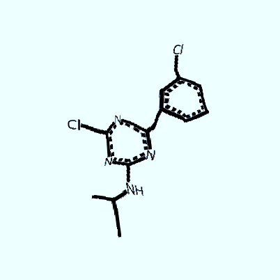 CC(C)Nc1nc(Cl)nc(-c2cccc(Cl)c2)n1